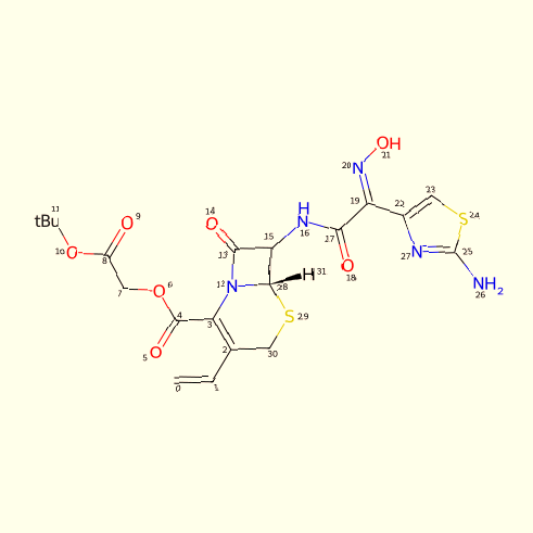 C=CC1=C(C(=O)OCC(=O)OC(C)(C)C)N2C(=O)C(NC(=O)C(=NO)c3csc(N)n3)[C@@H]2SC1